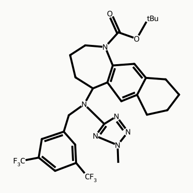 Cn1nnc(N(Cc2cc(C(F)(F)F)cc(C(F)(F)F)c2)C2CCCN(C(=O)OC(C)(C)C)c3cc4c(cc32)CCCC4)n1